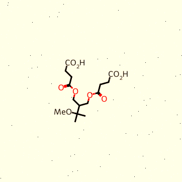 COC(C)(C)C(COC(=O)CCC(=O)O)COC(=O)CCC(=O)O